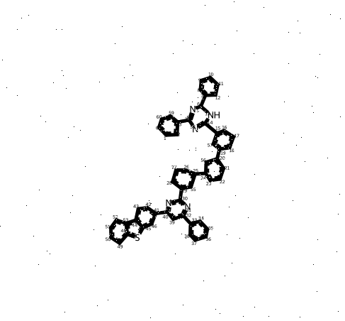 c1ccc(C2=NC(c3ccccc3)NC(c3cccc(-c4cccc(-c5cccc(-c6nc(-c7ccccc7)cc(-c7ccc8c(c7)sc7ccccc78)n6)c5)c4)c3)=N2)cc1